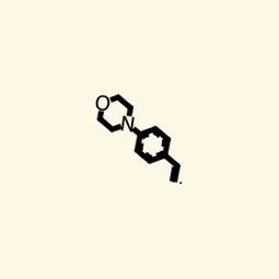 [CH]=Cc1ccc(N2CCOCC2)cc1